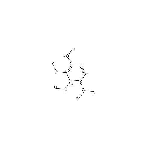 CCc1c(OC)ccc(C(C)C)c1CC